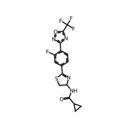 O=C(NC1CSC(c2ccc(-c3noc(C(F)(F)F)n3)c(F)c2)=N1)C1CC1